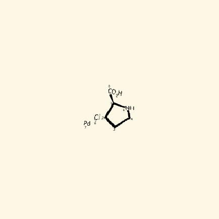 O=C(O)[C@@H]1CCCN1.[C].[Pd]